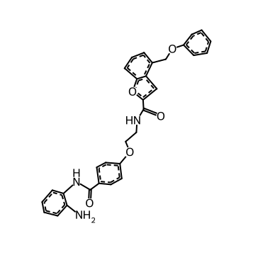 Nc1ccccc1NC(=O)c1ccc(OCCNC(=O)c2cc3c(COc4ccccc4)cccc3o2)cc1